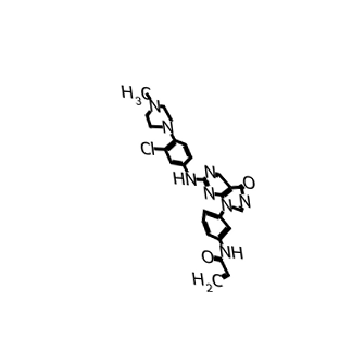 C=CC(=O)Nc1cccc(-n2cnc(=O)c3cnc(Nc4ccc(N5CCN(C)CC5)c(Cl)c4)nc32)c1